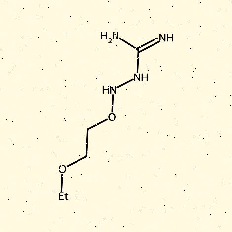 CCOCCONNC(=N)N